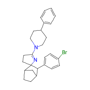 Brc1ccc(C2C3CCC(C3)C23CCC(N2CCC(c4ccccc4)CC2)=N3)cc1